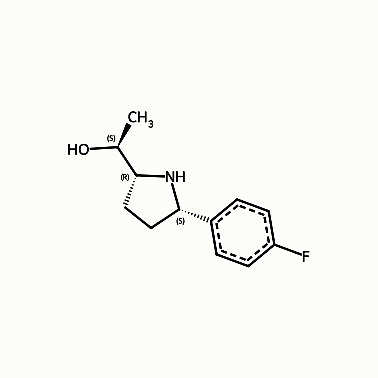 C[C@H](O)[C@H]1CC[C@@H](c2ccc(F)cc2)N1